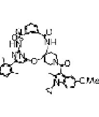 COc1ccc2c(c1)c(C(=O)N1CCC3(CC1)CNC(=O)c1cccc(c1)S(=O)(=O)Nc1nc(cc(-c4c(C)cccc4C)n1)OC3)c(C)n2C1CC1